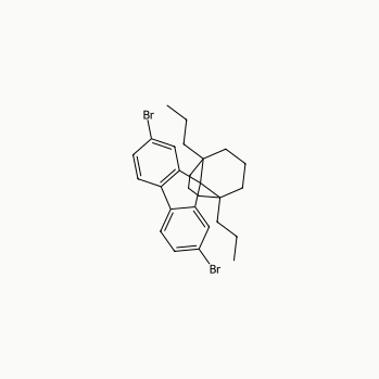 CCCC12CCCC(CCC)(CCC1)C21c2cc(Br)ccc2-c2ccc(Br)cc21